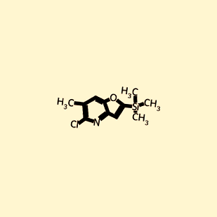 Cc1cc2oc([Si](C)(C)C)cc2nc1Cl